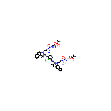 C=C(C)C(=O)OCCNC(=O)NCCCN1/C(=C/C=C2\CCCC(/C=C/C(C(C)C)=[N+](\CCCNC(=O)NCCOC(=O)C(=C)C)c3ccc4ccccc4c3)=C2Cl)C(C)(C)c2c1ccc1ccccc21